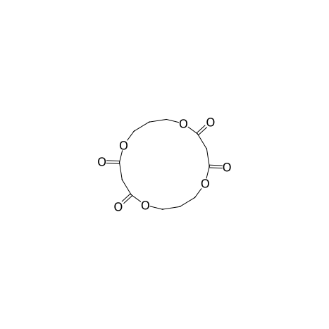 O=C1CC(=O)OCCCOC(=O)CC(=O)OCCCO1